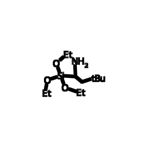 CCO[Si](OCC)(OCC)C(N)CC(C)(C)C